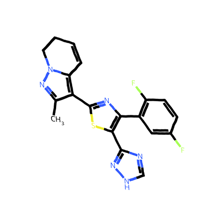 Cc1nn2c(c1-c1nc(-c3cc(F)ccc3F)c(-c3nc[nH]n3)s1)C=CCC2